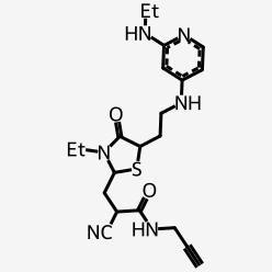 C#CCNC(=O)C(C#N)CC1SC(CCNc2ccnc(NCC)c2)C(=O)N1CC